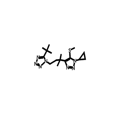 CSc1c(C(C)(C)CCn2nnnc2C(C)(C)C)nnn1C1CC1